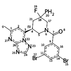 Cc1cc([C@@H]2CN(C(=O)c3cc(Br)cc(Br)c3)CC(F)(P)C2)n2ncnc2n1